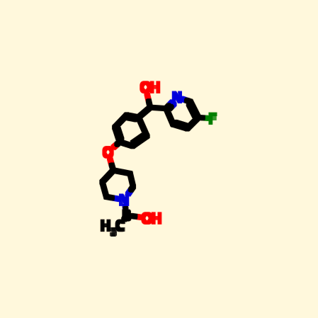 CB(O)N1CCC(Oc2ccc(C(O)c3ccc(F)cn3)cc2)CC1